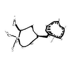 ClC1CC(c2ccccc2)CC[Si]1(Cl)Cl